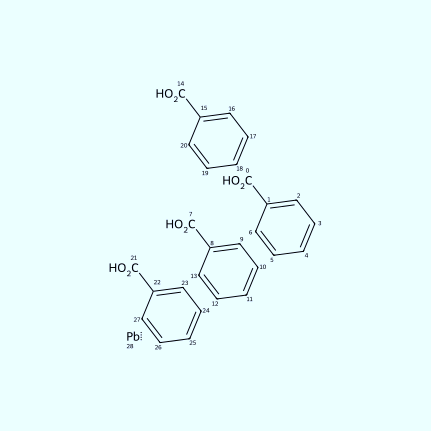 O=C(O)c1ccccc1.O=C(O)c1ccccc1.O=C(O)c1ccccc1.O=C(O)c1ccccc1.[Pb]